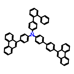 c1ccc(-c2ccccc2-c2ccc(N(c3ccc(-c4ccc(-c5cc6ccccc6c6ccccc56)cc4)cc3)c3ccc(-c4cc5ccccc5c5ccccc45)cc3)cc2)cc1